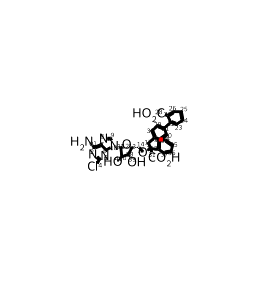 Nc1nc(Cl)nc2c1ncn2[C@@H]1O[C@H](COC(Cc2ccc(-c3ccccc3C(=O)O)cc2)(C(=O)O)c2ccccc2)[C@@H](O)[C@H]1O